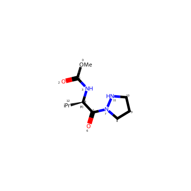 COC(=O)N[C@@H](C(=O)N1CCCN1)C(C)C